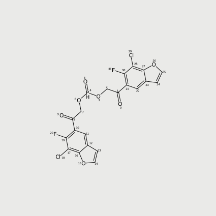 O=C(CO[PH](=O)OCC(=O)c1cc2ccoc2c(Cl)c1F)c1cc2ccoc2c(Cl)c1F